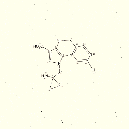 NC1(Cn2cc(C(=O)O)c3c2-c2cc(Cl)ncc2CC3)CC1